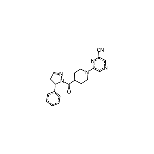 N#Cc1cncc(N2CCC(C(=O)N3N=CC[C@H]3c3ccccc3)CC2)n1